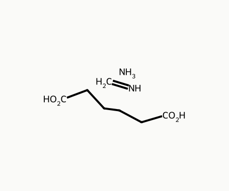 C=N.N.O=C(O)CCCCC(=O)O